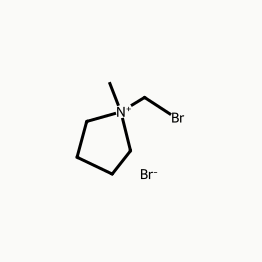 C[N+]1(CBr)CCCC1.[Br-]